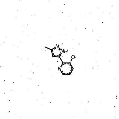 Cc1cc(-c2ncccc2[O])[nH]n1